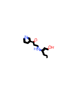 CCCC(CCO)NCCC(=O)c1cccnc1